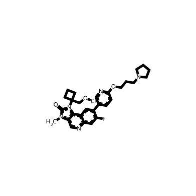 COCC1(n2c(=O)n(C)c3cnc4cc(F)c(-c5ccc(OCCCN6CCCC6)nc5)cc4c32)CCC1